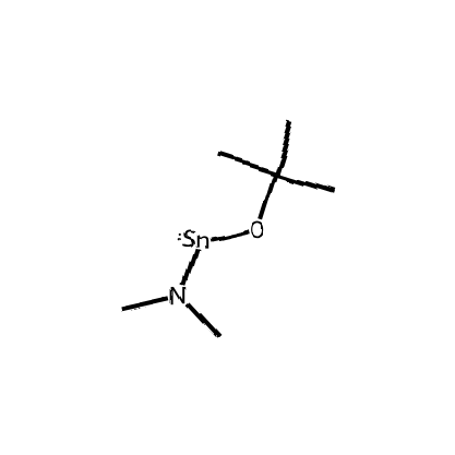 C[N](C)[Sn][O]C(C)(C)C